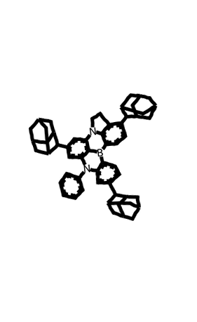 c1ccc(N2c3cc(C4C5CC6CC(C5)CC4C6)ccc3B3c4ccc(C5C6CC7CC(C6)CC5C7)c5c4N(CC5)c4cc(C5C6CC7CC(C6)CC5C7)cc2c43)cc1